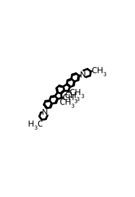 CC1CCN(c2ccc3cc4c(cc3c2)C(C)(C)c2c-4ccc3c2C(C)(C)c2cc4cc(N5CCC(C)CC5)ccc4cc2-3)CC1